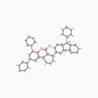 O=c1oc2c(-c3ccccc3)cc(-c3ccccc3)cc2c2cccc(-c3ccc4c(c3)c3ccccc3n4-c3ccccc3)c12